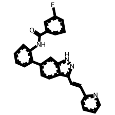 O=C(Nc1ccccc1-c1ccc2c(/C=C/c3ccccn3)n[nH]c2c1)c1cccc(F)c1